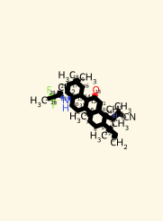 C=CC(C)(C)C1CCC2(C)C(=CC(=O)C3C4CC(C)(C)CCC4(NC(=C)C(C)(F)F)CCC32)C1(C)/C=C(\C)C#N